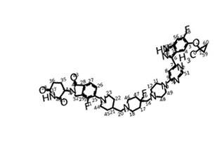 CC1(Oc2cc3c(-c4cc(N5CCN(CC6(F)CCN(CC7CCN(c8ccc9c(c8F)CN(C8CCC(=O)NC8=O)C9=O)CC7)CC6)CC5)ncn4)n[nH]c3cc2F)CC1